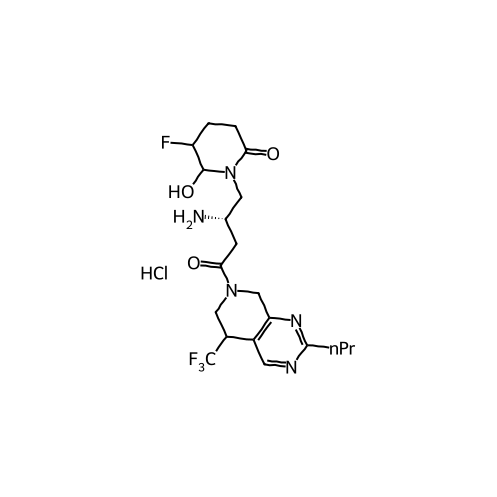 CCCc1ncc2c(n1)CN(C(=O)C[C@H](N)CN1C(=O)CCC(F)C1O)CC2C(F)(F)F.Cl